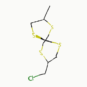 CC1CS[C@]2(SCC(CCl)S2)S1